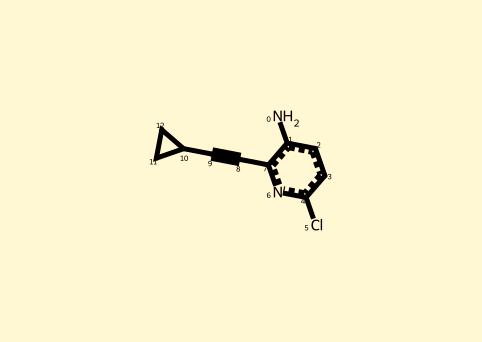 Nc1ccc(Cl)nc1C#CC1CC1